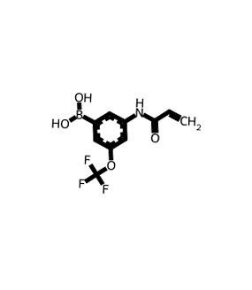 C=CC(=O)Nc1cc(OC(F)(F)F)cc(B(O)O)c1